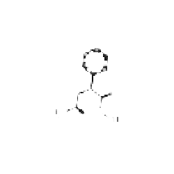 C=C(C)CC(C(=O)OC)c1ccccc1